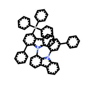 c1ccc(-c2cccc(-n3c4ccccc4c4cccc(-n5c6ccccc6c6c([Si](c7ccccc7)(c7ccccc7)c7ccccc7)ccc(-c7ccccc7)c65)c43)c2)cc1